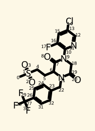 CS(=O)(=O)CCC1C(=O)N(c2ncc(Cl)cc2F)CC(=O)N1Cc1ccc(C(F)(F)F)cc1